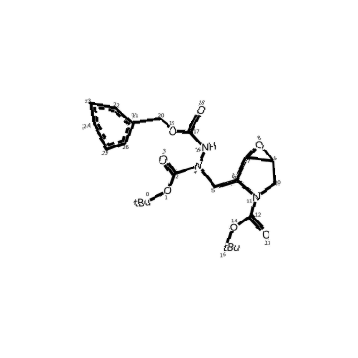 CC(C)(C)OC(=O)N(CC1C2OC2CN1C(=O)OC(C)(C)C)NC(=O)OCc1ccccc1